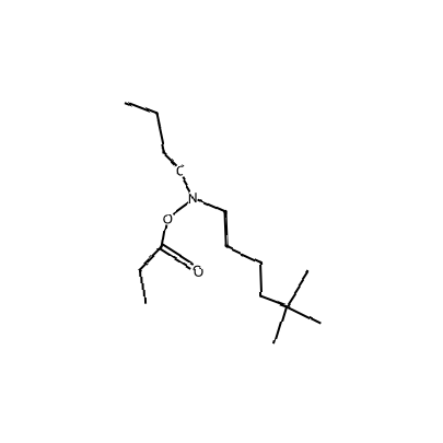 CCCCN(CCCCC(C)(C)C)OC(=O)CC